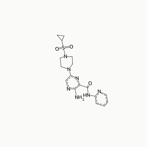 Nc1ncc(N2CCN(S(=O)(=O)C3CC3)CC2)nc1C(=O)Nc1ccccn1